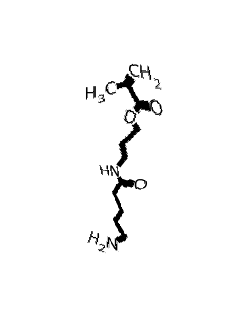 C=C(C)C(=O)OCCCNC(=O)CCCCN